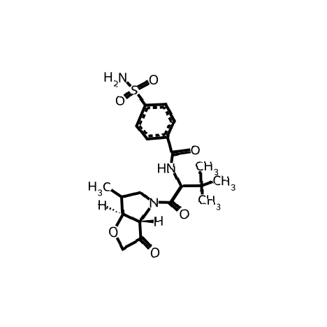 CC1CN(C(=O)C(NC(=O)c2ccc(S(N)(=O)=O)cc2)C(C)(C)C)[C@@H]2C(=O)CO[C@@H]12